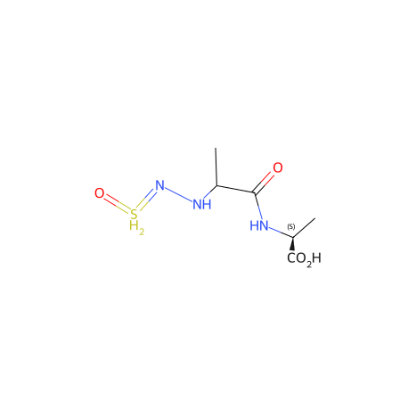 CC(NN=[SH2]=O)C(=O)N[C@@H](C)C(=O)O